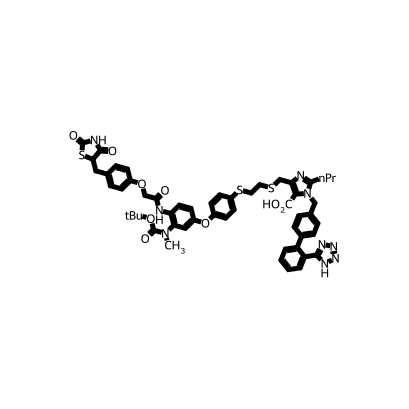 CCCc1nc(CSCCSc2ccc(Oc3ccc(NC(=O)COc4ccc(CC5SC(=O)NC5=O)cc4)c(N(C)C(=O)OC(C)(C)C)c3)cc2)c(C(=O)O)n1Cc1ccc(-c2ccccc2-c2nnn[nH]2)cc1